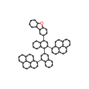 c1ccc2c(-c3ccc4ccc5cccc6ccc3c4c56)cc(-c3c(-c4ccc5ccc6cccc7ccc4c5c67)cc(-c4ccc5oc6ccccc6c5c4)c4ccccc34)cc2c1